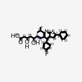 CC(C)c1nc2sc(-c3ccccc3)cc2c(-c2ccc(F)cc2)c1/C=C/C(O)CC(O)CC(=O)O